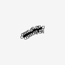 O=C(O)C(=C(Cl)C(Cl)(Cl)C(Cl)(Cl)C(Cl)(Cl)C(Cl)(Cl)C(Cl)(Cl)C(Cl)(Cl)C(Cl)(Cl)C(Cl)(Cl)Cl)C(Cl)(Cl)C(Cl)(Cl)Cl